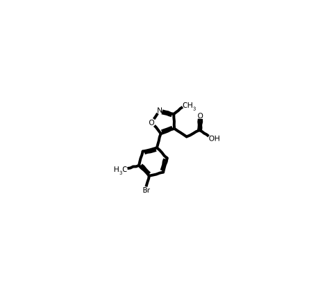 Cc1cc(-c2onc(C)c2CC(=O)O)ccc1Br